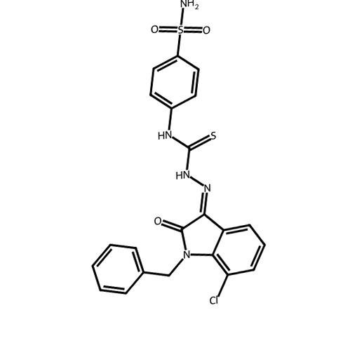 NS(=O)(=O)c1ccc(NC(=S)NN=C2C(=O)N(Cc3ccccc3)c3c(Cl)cccc32)cc1